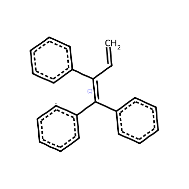 C=C/C(=C(/c1[c]cccc1)c1ccccc1)c1ccccc1